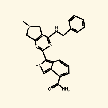 CN1Cc2nc(-c3[nH]cc4c(C(N)=O)cccc34)nc(NCc3ccccc3)c2C1